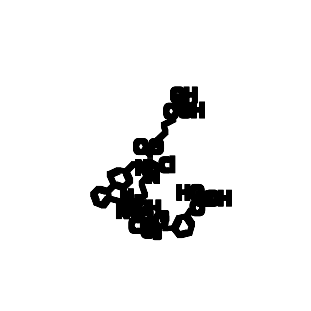 CCCCc1nc(Cl)c(C(=O)OCCCCON(O)O)n1Cc1ccc(-c2ccccc2-c2nnn(C(C)OC(=O)OCc3cccc(CON(O)O)c3)n2)cc1